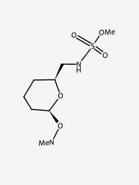 CNO[C@H]1CCC[C@@H](CNS(=O)(=O)OC)O1